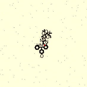 C#C[C@@]12OC(C)(C)O[C@@H]1C(CC)(CC)O[C@H]2n1cnc2c(NC(c3ccccc3)(c3ccccc3)c3ccc(OC)cc3)ncnc21